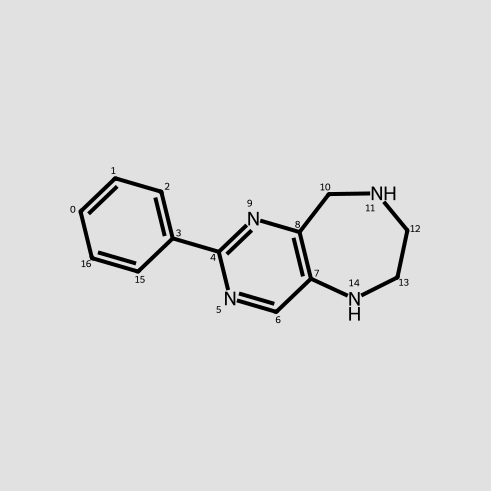 c1ccc(-c2ncc3c(n2)CNCCN3)cc1